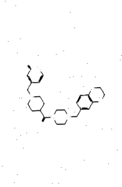 C=C/C=C(\C=C/N)CN1CCC(C(=O)N2CCN(Cc3ccc4c(c3)OCCO4)CC2)CC1